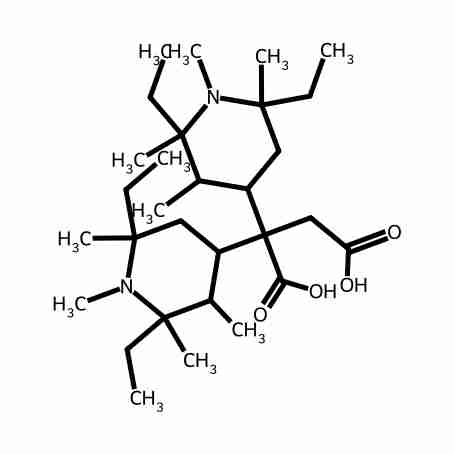 CCC1(C)CC(C(CC(=O)O)(C(=O)O)C2CC(C)(CC)N(C)C(C)(CC)C2C)C(C)C(C)(CC)N1C